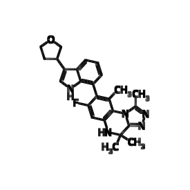 Cc1c(-c2cccc3c(C4CCOC4)c[nH]c23)c(F)cc2c1-n1c(C)nnc1C(C)(C)N2